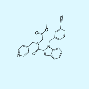 COC(=O)CN(Cc1ccncc1)C(=O)c1cc2ccccc2n1Cc1cccc(C#N)c1